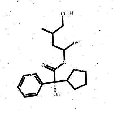 CCCC(CC(C)CC(=O)O)OC(=O)[C@](O)(c1ccccc1)C1CCCC1